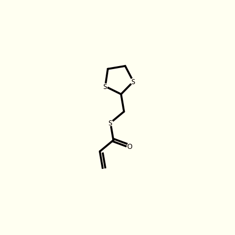 C=CC(=O)SCC1SCCS1